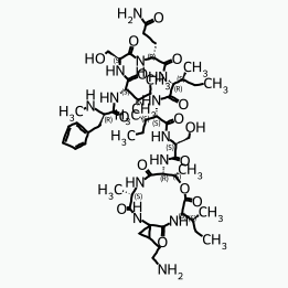 CC[C@H](C)[C@H](NC(=O)[C@@H](Cc1ccccc1)NC)C(=O)N[C@@H](CO)C(=O)N[C@H](CCC(N)=O)C(=O)N[C@@H](C(=O)N[C@H](C(=O)N[C@@H](CO)C(=O)N[C@H]1C(=O)N[C@@H](C)C(=O)NC2(CC2CCN)C(=O)N[C@@H]([C@@H](C)CC)C(=O)O[C@H]1C)[C@@H](C)CC)[C@@H](C)CC